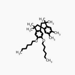 CCCCCCOc1cc2c(cc1OCCCCCC)C1(CC(C)(C)c3cc(C)c(C)cc31)CC2(C)C